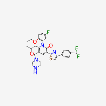 CCOc1ccc(F)cc1-n1c(CC(C)C)c(C(=O)N2CCNCC2)cc(-c2nc(-c3ccc(C(F)F)cc3)cs2)c1=O